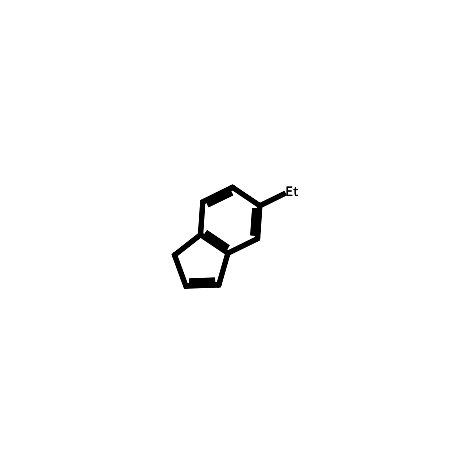 CCc1ccc2c(c1)C=CC2